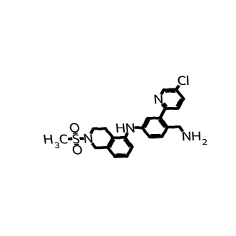 CS(=O)(=O)N1CCc2c(cccc2Nc2ccc(CN)c(-c3ccc(Cl)cn3)c2)C1